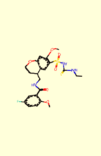 CCNC(=S)NS(=O)(=O)c1cc2c(cc1OC)OCCC2CNC(=O)c1cc(F)ccc1OC